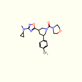 CN(c1noc(C2CC(c3ccc(C(F)(F)F)cc3)CN(C(=O)N3CCOCC3)C2)n1)C1CC1